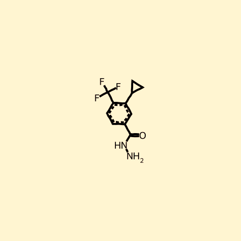 NNC(=O)c1ccc(C(F)(F)F)c(C2CC2)c1